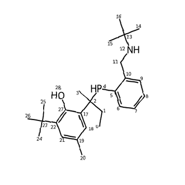 CCC(C)(Pc1ccccc1CNC(C)(C)C)c1cc(C)cc(C(C)(C)C)c1O